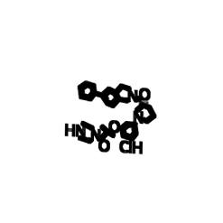 CC(C)(Oc1cccc(N2CCC[C@@H](C(=O)N3CCc4cc(-c5ccccc5)ccc4C3)C2)c1)C(=O)N1CCNCC1.Cl